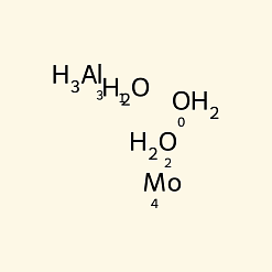 O.O.O.[AlH3].[Mo]